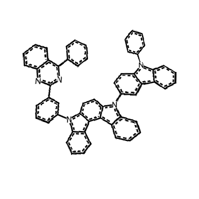 c1ccc(-c2nc(-c3cccc(-n4c5ccccc5c5c6c7ccccc7n(-c7ccc8c(c7)c7ccccc7n8-c7ccccc7)c6ccc54)c3)nc3ccccc23)cc1